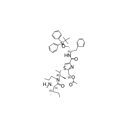 CCCN(C(=O)[C@@H](N)[C@@H](C)CC)[C@H](C[C@@H](OC(C)=O)c1nc(C(=O)N[C@H](CO[Si](c2ccccc2)(c2ccccc2)C(C)(C)C)Cc2ccccc2)cs1)C(C)C